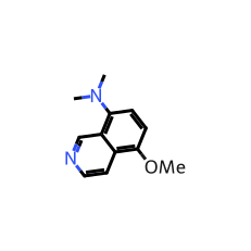 COc1ccc(N(C)C)c2cnccc12